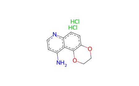 Cl.Cl.Nc1ccnc2ccc3c(c12)OCCO3